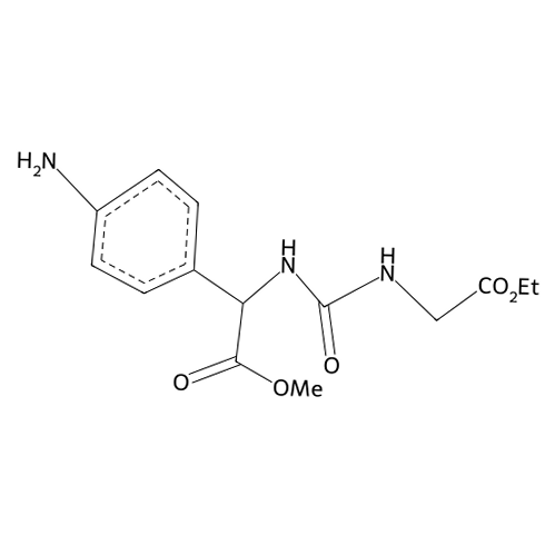 CCOC(=O)CNC(=O)NC(C(=O)OC)c1ccc(N)cc1